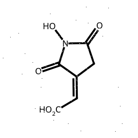 O=C(O)C=C1CC(=O)N(O)C1=O